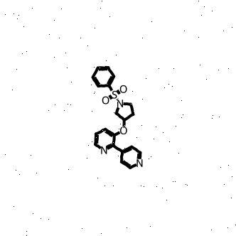 O=S(=O)(c1ccccc1)N1CCC(Oc2cccnc2-c2ccncc2)C1